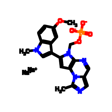 COc1ccc2c(c1)c(-c1cc3c(ncc4cnc(C)n43)n1COP(=O)([O-])[O-])cn2C.[Na+].[Na+]